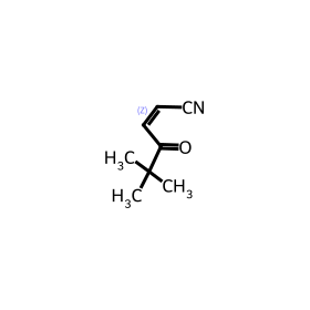 CC(C)(C)C(=O)/C=C\C#N